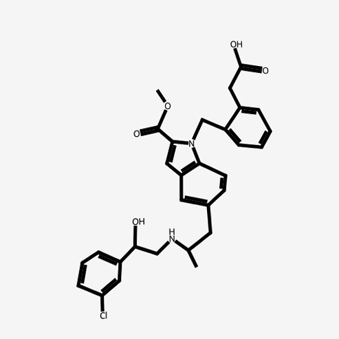 COC(=O)c1cc2cc(CC(C)NCC(O)c3cccc(Cl)c3)ccc2n1Cc1ccccc1CC(=O)O